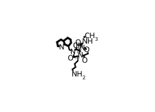 CCNC(=O)N1OCC(=O)N2[C@@H]1[C@H](C)N(Cc1cccc3cccnc13)C(=O)[C@@H]2CCCCN